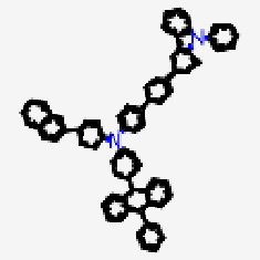 c1ccc(-c2c3ccccc3c(-c3ccc(N(c4ccc(-c5ccc(-c6ccc7c(c6)c6ccccc6n7-c6ccccc6)cc5)cc4)c4ccc(-c5ccc6ccccc6c5)cc4)cc3)c3ccccc23)cc1